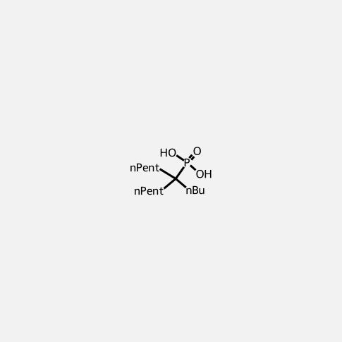 CCCCCC(CCCC)(CCCCC)P(=O)(O)O